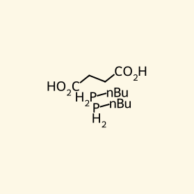 CCCCP.CCCCP.O=C(O)CCC(=O)O